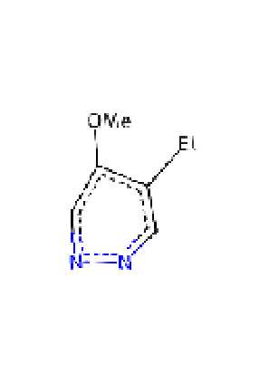 CCc1cnncc1OC